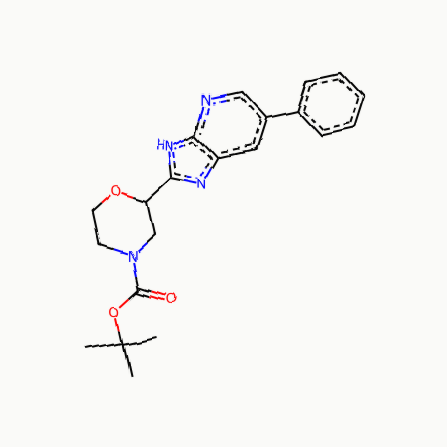 CC(C)(C)OC(=O)N1CCOC(c2nc3cc(-c4ccccc4)cnc3[nH]2)C1